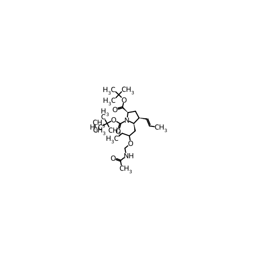 CC.CC=C[C@@H]1C[C@H](C(=O)OC(C)(C)C)N(C(=O)OC(C)(C)C)[C@@H]1CC(CC)OCNC(C)=O